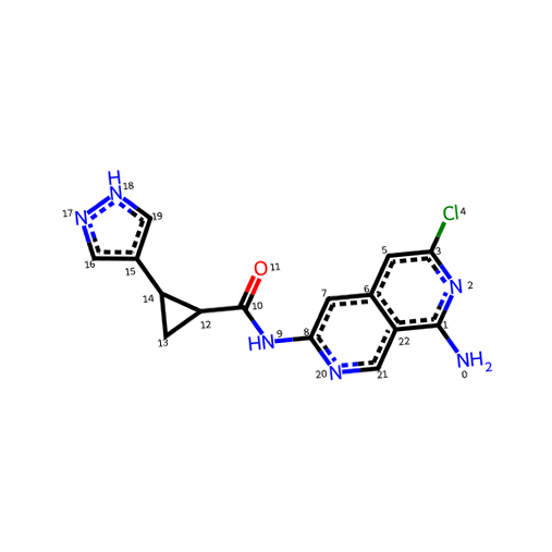 Nc1nc(Cl)cc2cc(NC(=O)C3CC3c3cn[nH]c3)ncc12